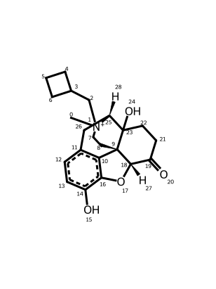 C[N+]1(CC2CCC2)CC[C@]23c4c5ccc(O)c4O[C@H]2C(=O)CCC3(O)[C@H]1C5